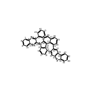 c1ccc(-c2nc3ccccc3nc2-n2c3cccc4c3c3c5c(cccc5ccc32)-c2cc3c(cc2-4)sc2ccccc23)cc1